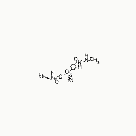 C=CNCCNC(=O)c1ccc(C(OCCOCC(=O)NCC#CCC)SSCC)cc1